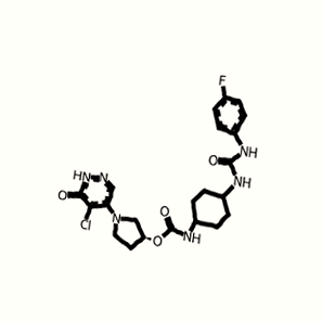 O=C(Nc1ccc(F)cc1)NC1CCC(NC(=O)O[C@@H]2CCN(c3cn[nH]c(=O)c3Cl)C2)CC1